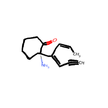 C#C/C=C(\C=C/C)[C@@]1(N)CCCCC1=O